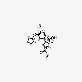 COC(=O)N1C[C@@H](c2ccc(OC)c(OC3CCCC3)c2)[C@](C)(C(C)O)C1